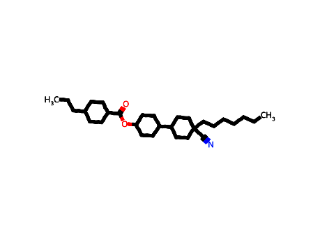 CCCCCCCC1(C#N)CCC(C2CCC(OC(=O)C3CCC(CCC)CC3)CC2)CC1